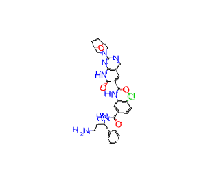 NCCC(NC(=O)c1ccc(Cl)c(NC(=O)c2cc3cnc(N4CC5CCC(C4)O5)nc3[nH]c2=O)c1)c1ccccc1